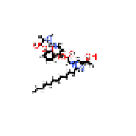 CC(C(=O)O)N(C)C.CCCCCCCCCCCc1nc(C(C)O)cn1CC(=O)O.c1ccc2ncccc2c1